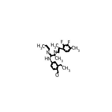 C\C=C/N=C(Nc1ccc(C=O)c(CC)c1)\C(C)=N\C=C(/C)c1ccc(C)c(F)c1F